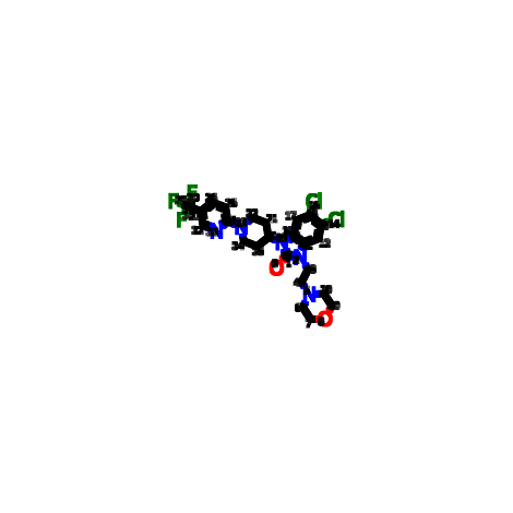 O=c1n(CCN2CCOCC2)c2cc(Cl)c(Cl)cc2n1C1CCN(c2ccc(C(F)(F)F)cn2)CC1